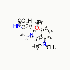 CC(C)Oc1cccc(N(C)C)c1CN1CCC(NC(=O)O)CC1